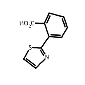 O=C(O)c1ccccc1-c1nccs1